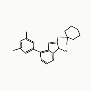 Cc1cc(C)cc(-c2cccc3c2C=C(CC2(C)CCCCC2)[CH]3[Zr])c1